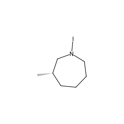 C[C@H]1CCCCN(I)C1